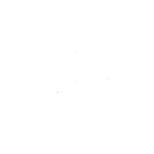 C#Cc1ccccc1.O=C(O)c1ccccc1